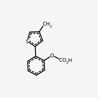 Cc1csc(-c2ccccc2OC(=O)O)c1